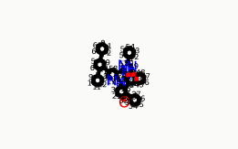 c1ccc(-c2ccc(-c3ccccc3)c(-c3cnc(-n4c5ccccc5c5c6c(ccc54)oc4ccccc46)c(-c4nc(-c5ccccc5)nc(-c5ccccc5)n4)c3)c2)cc1